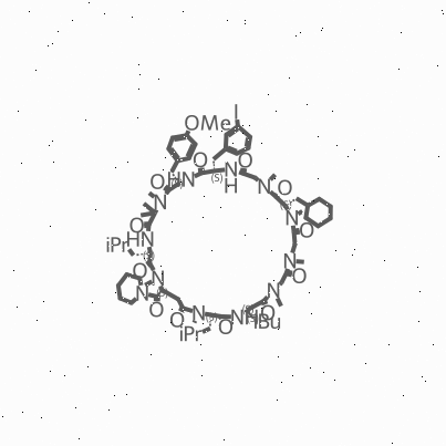 CC[C@H](C)[C@@H]1NC(=O)[C@H](CC(C)C)N(C)C(=O)C[C@@H](C(=O)N2CCCCC2)N(C)C(=O)[C@H](CC(C)C)NC(=O)C(C)(C)N(C)C(=O)[C@H](Cc2ccc(OC)cc2)NC(=O)[C@H](Cc2cccc(I)c2)NC(=O)CN(C)C(=O)[C@H](CC2CCCCC2)N(C)C(=O)CN(C)C(=O)CN(C)C1=O